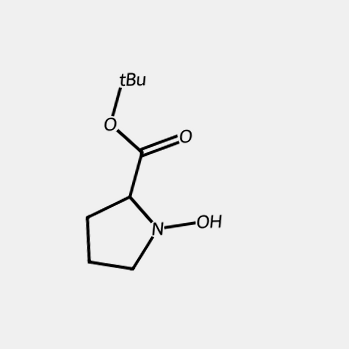 CC(C)(C)OC(=O)C1CCCN1O